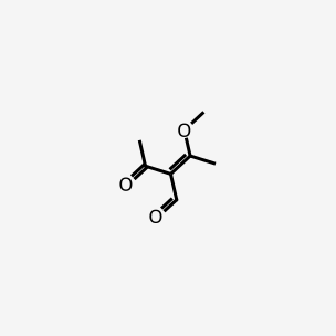 CO/C(C)=C(/C=O)C(C)=O